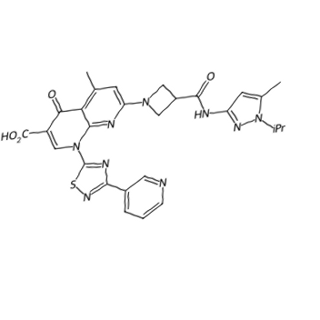 Cc1cc(N2CC(C(=O)Nc3cc(C)n(C(C)C)n3)C2)nc2c1c(=O)c(C(=O)O)cn2-c1nc(-c2cccnc2)ns1